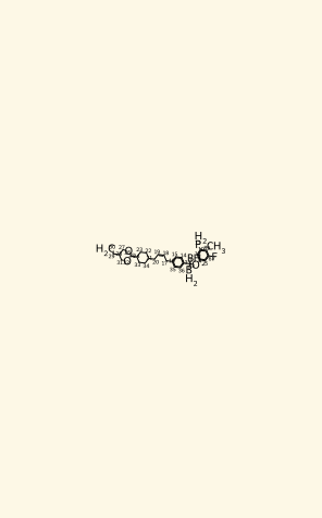 BC(B)(Oc1cc(F)c(C)c(P)c1)c1ccc(C/C=C\CC2CCC(C3OCC(C=C)CO3)CC2)cc1